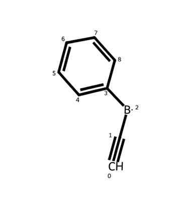 C#C[B]c1ccccc1